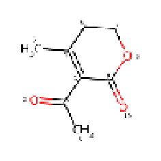 CC(=O)C1=C(C)CCOC1=O